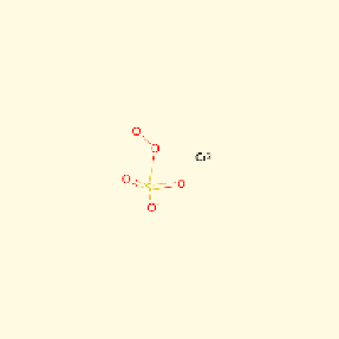 O=S(=O)([O-])O[O-].[Cr+2]